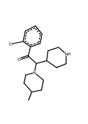 CC1CCN(C(C(=O)c2ccccc2Cl)C2CCNCC2)CC1